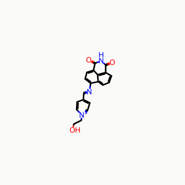 O=C1NC(=O)c2ccc(N=Cc3cc[n+](CCO)cc3)c3cccc1c23